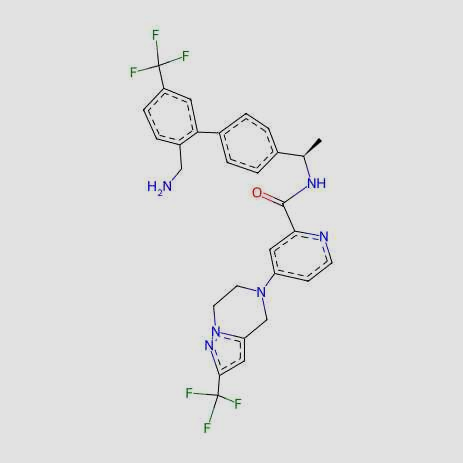 C[C@@H](NC(=O)c1cc(N2CCn3nc(C(F)(F)F)cc3C2)ccn1)c1ccc(-c2cc(C(F)(F)F)ccc2CN)cc1